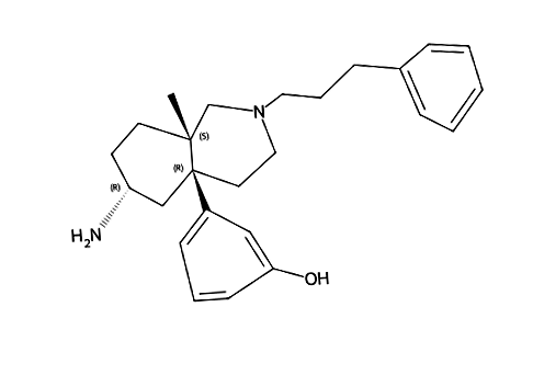 C[C@]12CC[C@@H](N)C[C@@]1(c1cccc(O)c1)CCN(CCCc1ccccc1)C2